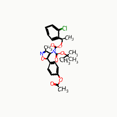 CC(=O)Oc1ccc(-c2onc(C)c2N(C(=O)O[C@H](C)c2ccccc2Cl)C(=O)OC(C)(C)C)cc1